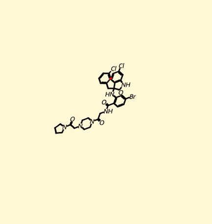 O=C(NCC(=O)N1CCN(CC(=O)N2CCCC2)CC1)c1ccc(Br)cc1NC1(Cc2cccc(Cl)c2)C(=O)Nc2cc(Cl)ccc21